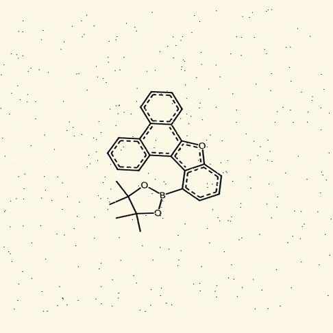 CC1(C)OB(c2cccc3oc4c5ccccc5c5ccccc5c4c23)OC1(C)C